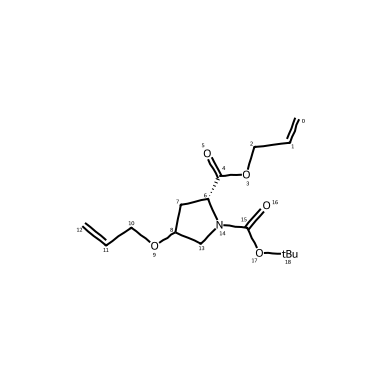 C=CCOC(=O)[C@H]1CC(OCC=C)CN1C(=O)OC(C)(C)C